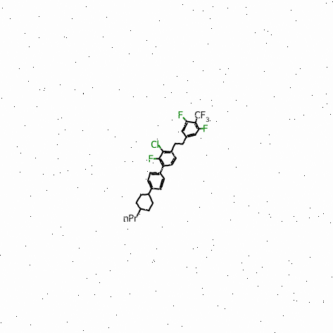 CCCC1CCC(c2ccc(-c3ccc(CCc4cc(F)c(C(F)(F)F)c(F)c4)c(Cl)c3F)cc2)CC1